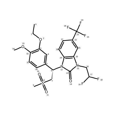 CCOc1cc([C@@H](CS(C)(=O)=O)n2c(=O)n(CC(F)F)c3cc(C(F)(F)F)ccc32)ccc1OC